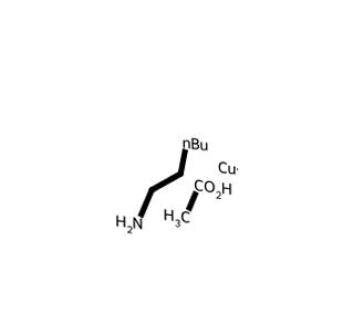 CC(=O)O.CCCCCCN.[Cu]